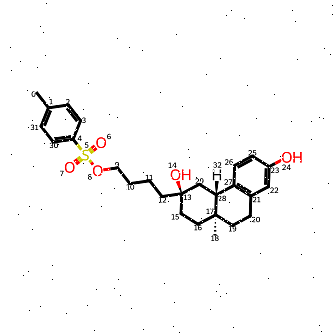 Cc1ccc(S(=O)(=O)OCCCC[C@@]2(O)CC[C@]3(C)CCc4cc(O)ccc4[C@H]3C2)cc1